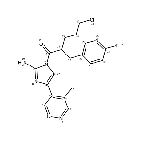 Cc1cnncc1-c1nc(N)n(C(=O)C(CCCCl)Cc2ccc(F)nc2)n1